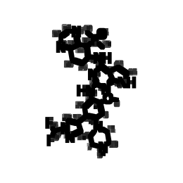 COc1cc(N2CCN(C)CC2)c(-c2cnn(C(F)F)c2)cc1Nc1nc(Nc2ccc3nccnc3c2P(C)(C)=O)c2cc[nH]c2n1